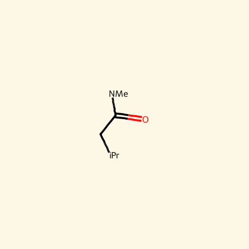 CNC(=O)CC(C)C